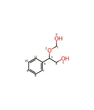 OCOC(CO)c1ccccc1